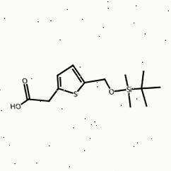 CC(C)(C)[Si](C)(C)OCc1ccc(CC(=O)O)s1